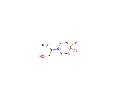 O=C(O)C(CO)N1CCS(=O)(=O)CC1